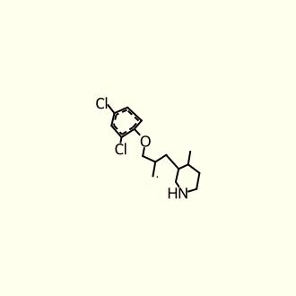 [CH2]C(COc1ccc(Cl)cc1Cl)CC1CNCCC1C